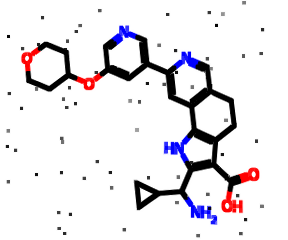 NC(c1[nH]c2c(c1C(=O)O)CCc1cnc(-c3cncc(OC4CCOCC4)c3)cc1-2)C1CC1